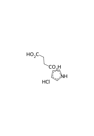 Cl.O=C(O)CCC(=O)O.c1cc[nH]c1